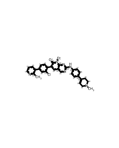 CCn1c(=O)c(-c2ccc(-c3cccnc3C)cc2Cl)cc2cnc(Nc3ccc(C4=CCN(C)CC4)cc3)nc21